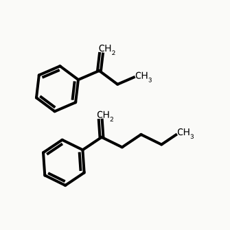 C=C(CC)c1ccccc1.C=C(CCCC)c1ccccc1